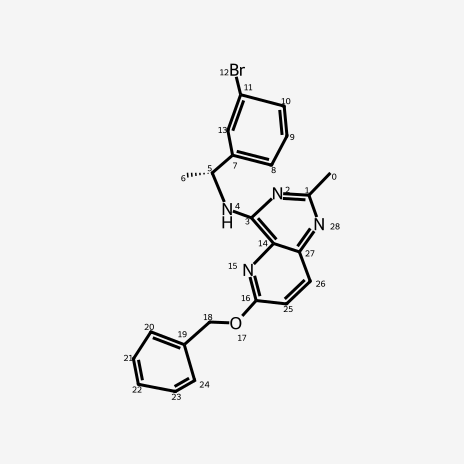 Cc1nc(N[C@H](C)c2cccc(Br)c2)c2nc(OCc3ccccc3)ccc2n1